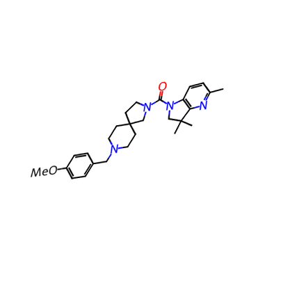 COc1ccc(CN2CCC3(CC2)CCN(C(=O)N2CC(C)(C)c4nc(C)ccc42)C3)cc1